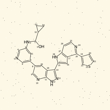 OC(Nc1cncc(-c2cnc3[nH]nc(-c4cc5c(-c6ccsc6)nccc5[nH]4)c3c2)c1)C1CC1